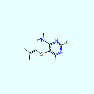 CNc1nc(Cl)nc(C)c1SC=C(C)C